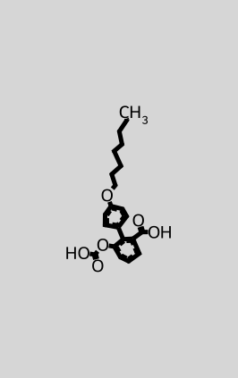 CCCCCCCCOc1ccc(-c2c(OC(=O)O)cccc2C(=O)O)cc1